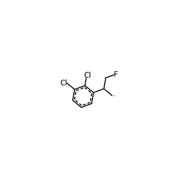 [CH2]C(CF)c1cccc(Cl)c1Cl